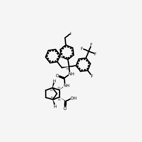 O=C(N[C@H]1[C@H]2CC[C@H](C2)[C@H]1C(=O)O)N[C@@](Cc1ccccc1)(c1cc(F)cc(C(F)(F)F)c1)c1ccc(CI)cn1